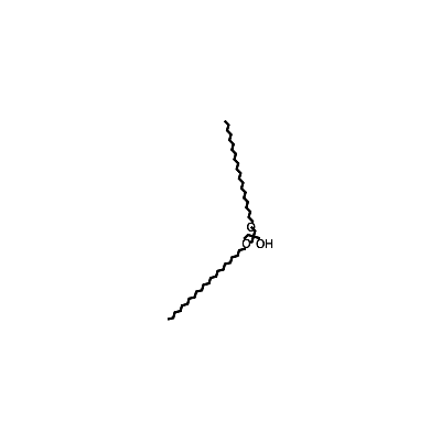 CCCCCCCCCCCCCCCCCCCCCCOCC(CC)(CO)COCCCCCCCCCCCCCCCCCCCCCC